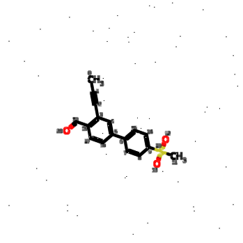 CC#Cc1cc(-c2ccc(S(C)(=O)=O)cc2)ccc1C=O